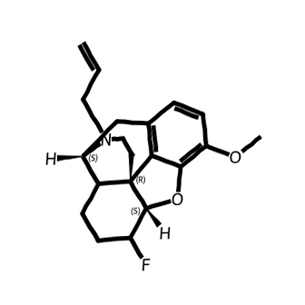 C=CCN1CC[C@@]23c4c5ccc(OC)c4O[C@@H]2C(F)CCC3[C@@H]1C5